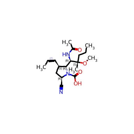 C/C=C\[C@@H]1C[C@H](C#N)N(C(=O)O)[C@H]1[C@@H](NC(C)=O)[C@](C)(CCC)OC